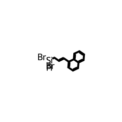 Br[SiH](Br)CC=Cc1cccc2ccccc12